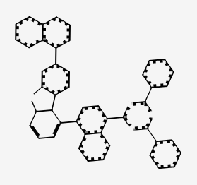 C1=CC2Oc3cc(-c4cccc5ccccc45)ccc3C2C(c2ccc(-c3nc(-c4ccccc4)nc(-c4ccccc4)n3)c3ccccc23)=C1